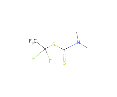 CN(C)C(=S)SC(F)(F)C(F)(F)F